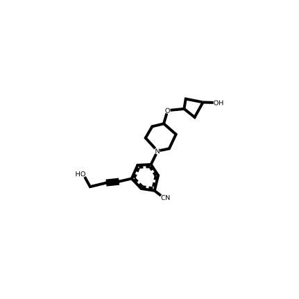 N#Cc1cc(C#CCO)cc(N2CCC(OC3CC(O)C3)CC2)c1